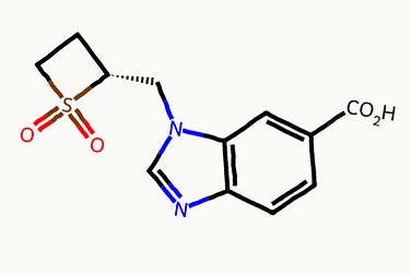 O=C(O)c1ccc2ncn(C[C@H]3CCS3(=O)=O)c2c1